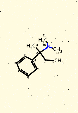 CCC(C)(c1ccccc1)N(C)C